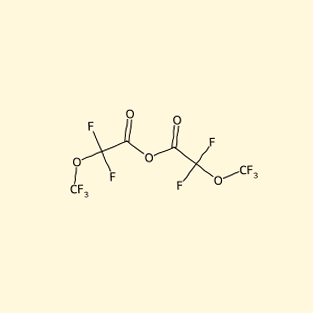 O=C(OC(=O)C(F)(F)OC(F)(F)F)C(F)(F)OC(F)(F)F